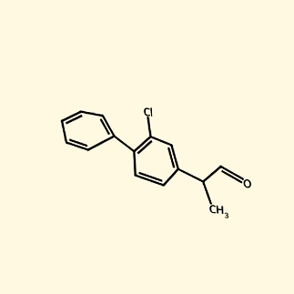 CC(C=O)c1ccc(-c2ccccc2)c(Cl)c1